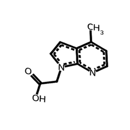 Cc1ccnc2c1ccn2CC(=O)O